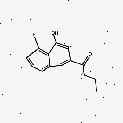 CCOC(=O)c1cc(O)c2c(F)cccc2c1